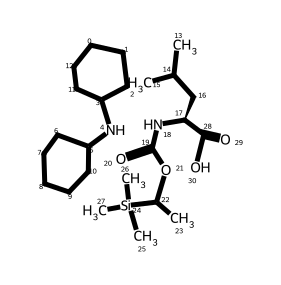 C1CCC(NC2CCCCC2)CC1.CC(C)C[C@H](NC(=O)OC(C)[Si](C)(C)C)C(=O)O